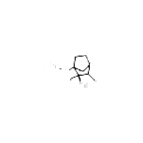 CCCCOC12CCC(C1)C(C)C2(C)[SiH3]